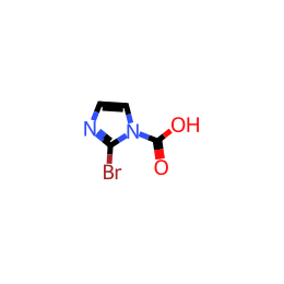 O=C(O)n1ccnc1Br